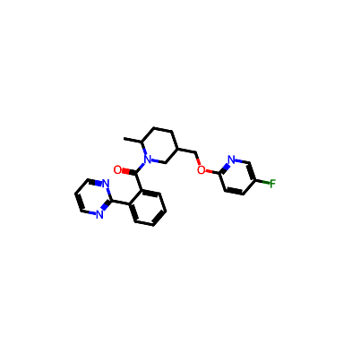 CC1CCC(COc2ccc(F)cn2)CN1C(=O)c1ccccc1-c1ncccn1